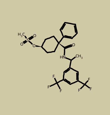 CC(NC(=O)[C@]1(c2ccccc2)CC[C@H](OS(C)(=O)=O)CC1)c1cc(C(F)(F)F)cc(C(F)(F)F)c1